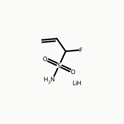 C=CC(F)S(N)(=O)=O.[LiH]